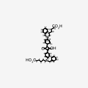 O=C(O)CCCCCN(Cc1ccccc1)c1ccc(C2=C(O)C(C3C=CC(=[N+](CCCCCC(=O)O)Cc4ccccc4)C=C3)C2=O)cc1